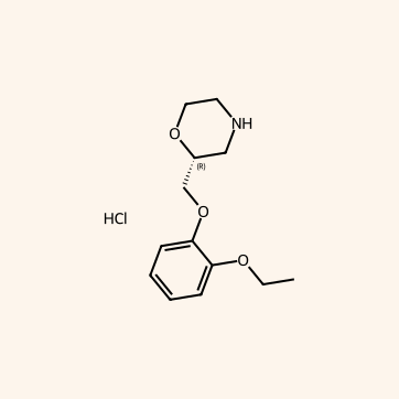 CCOc1ccccc1OC[C@H]1CNCCO1.Cl